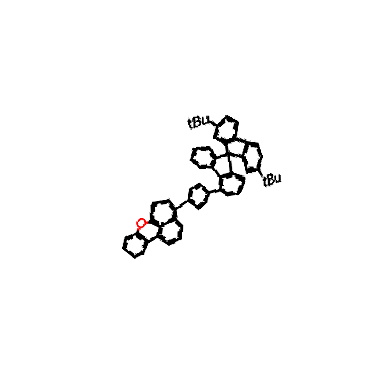 CC(C)(C)c1ccc2c(c1)C1(c3cc(C(C)(C)C)ccc3-2)c2ccccc2-c2c(-c3ccc(-c4ccc5c6c(cccc46)-c4ccccc4O5)cc3)cccc21